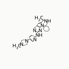 C=C1NCC2(CCCCC2)n2c1cc1cnc(Nc3ccc(N4CCN(C)CC4)cn3)nc12